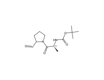 C[C@H](NC(=O)OC(C)(C)C)C(=O)N1CCCC1C=O